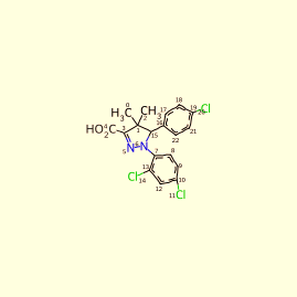 CC1(C)C(C(=O)O)=NN(c2ccc(Cl)cc2Cl)C1c1ccc(Cl)cc1